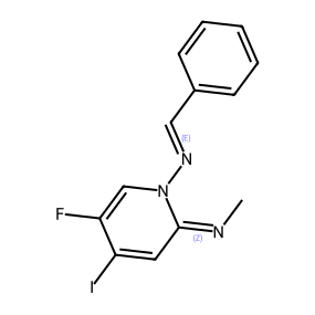 C/N=c1/cc(I)c(F)cn1/N=C/c1ccccc1